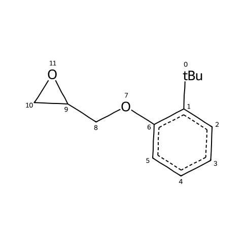 CC(C)(C)c1ccccc1OCC1CO1